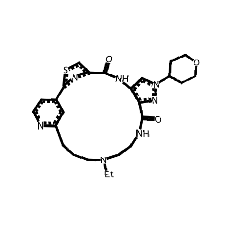 CCN1CCCc2cc(ccn2)-c2nc(cs2)C(=O)Nc2cn(C3CCOCC3)nc2C(=O)NCC1